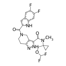 CN(C(=O)c1[nH]nc2c1CN(C(=O)c1cc3cc(F)c(F)cc3[nH]1)CC2)C1(COC(F)F)CC1